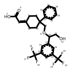 O=C(O)C=C1CCC(COC(CO)c2cc(C(F)(F)F)cc(C(F)(F)F)c2)(c2ccccc2)CC1